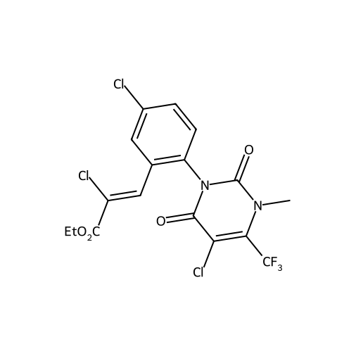 CCOC(=O)C(Cl)=Cc1cc(Cl)ccc1-n1c(=O)c(Cl)c(C(F)(F)F)n(C)c1=O